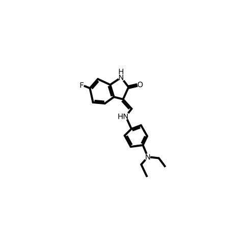 CCN(CC)c1ccc(N/C=C2/C(=O)Nc3cc(F)ccc32)cc1